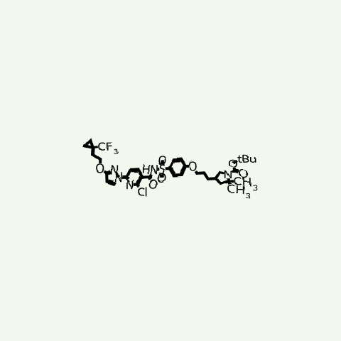 CC(C)(C)OC(=O)N1CC(CCCOc2ccc(S(=O)(=O)NC(=O)c3ccc(-n4ccc(OCCC5(C(F)(F)F)CC5)n4)nc3Cl)cc2)CC1(C)C